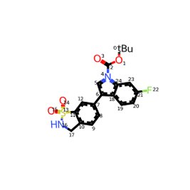 CC(C)(C)OC(=O)n1cc(-c2ccc3c(c2)S(=O)(=O)NC3)c2ccc(F)cc21